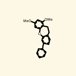 COc1cc(OC)c2c(c1)Oc1cc(-c3ccccc3)ccc1CC2